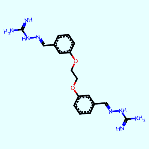 N=C(N)NN=Cc1cccc(OCCOc2cccc(C=NNC(=N)N)c2)c1